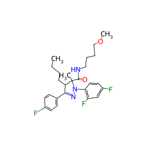 CCCCC1C(c2ccc(F)cc2)=NN(c2ccc(F)cc2F)C1(C)C(=O)NCCCCOC